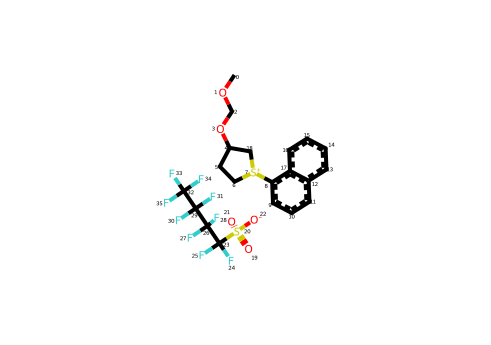 COCOC1CC[S+](c2cccc3ccccc23)C1.O=S(=O)([O-])C(F)(F)C(F)(F)C(F)(F)C(F)(F)F